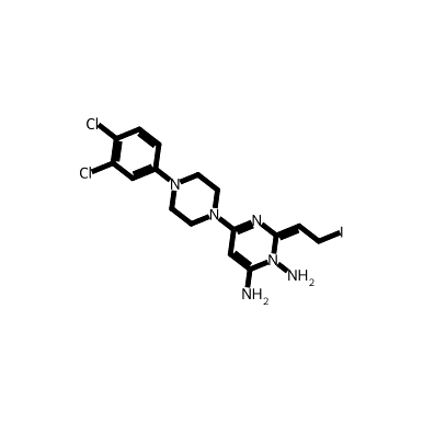 NC1=CC(N2CCN(c3ccc(Cl)c(Cl)c3)CC2)=N/C(=C/CI)N1N